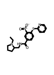 CCN1CCCC1CNC(=O)c1ccc(Sc2ccccn2)c([N+](=O)[O-])c1